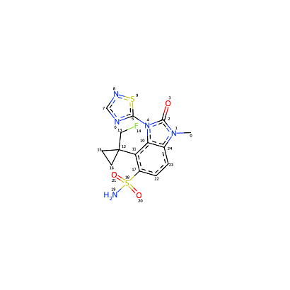 Cn1c(=O)n(-c2ncns2)c2c(C3(CF)CC3)c(S(N)(=O)=O)ccc21